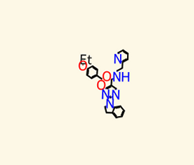 CCOc1ccc(COc2nc(N3CCc4ccccc43)ncc2C(=O)NCCc2ccccn2)cc1